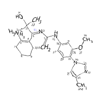 C=C(/N=C(\C1=C(N)CCCC1)C(C)(C)O)Nc1ccc(-n2cnc(C)c2)c(OC)c1